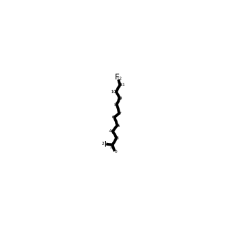 CC(I)CCCCCCCCCF